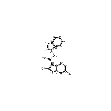 Nc1nn2cc(Cl)cnc2c1C(=O)On1nnc2ccccc21